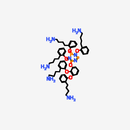 NCCCCc1ccccc1Oc1cccc(Op2npn(Oc3ccccc3CCCCN)p(Oc3ccccc3CCCCN)n2Oc2ccccc2CCCCN)c1Oc1ccccc1CCCCN